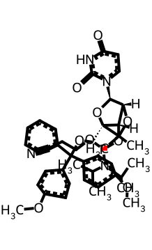 COc1ccc(C(OC[C@@]23O[C@@H](n4ccc(=O)[nH]c4=O)[C@H](OC2(C)C)[C@@H]3OP(OCCC#N)N(C(C)C)C(C)C)(c2ccccc2)c2ccc(OC)cc2)cc1